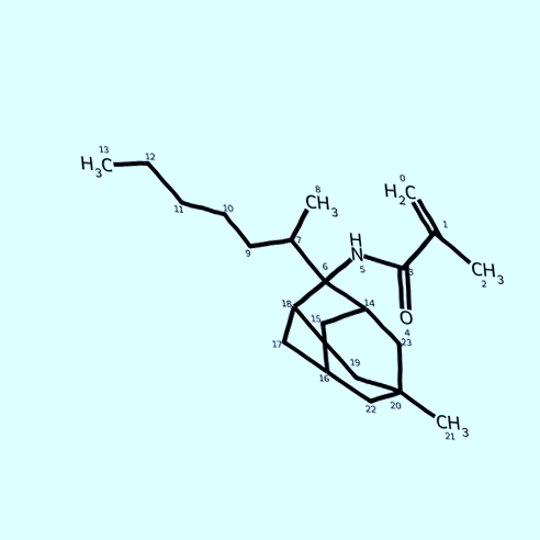 C=C(C)C(=O)NC1(C(C)CCCCC)C2CC3CC1CC(C)(C3)C2